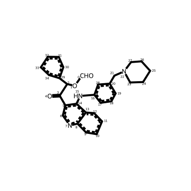 O=COC(C(=O)c1cnc2ccccc2c1Nc1cccc(CN2CCCCC2)c1)c1ccccc1